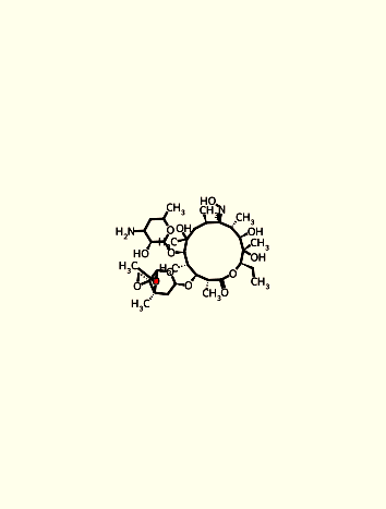 CC[C@H]1OC(=O)[C@H](C)[C@@H](O[C@H]2C[C@]3(C)OC(C)C(O2)[C@@]32CO2)[C@H](C)[C@@H](O[C@@H]2OC(C)CC(N)[C@@H]2O)[C@](C)(O)C[C@@H](C)/C(=N\O)[C@H](C)[C@@H](O)[C@]1(C)O